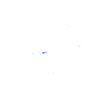 N[C@H](C(=O)O)c1c(O)noc1-c1ccccc1